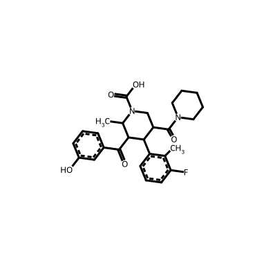 Cc1c(F)cccc1C1C(C(=O)N2CCCCC2)CN(C(=O)O)C(C)C1C(=O)c1cccc(O)c1